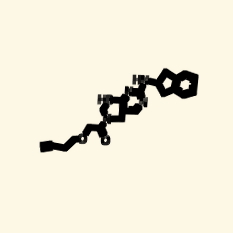 C#CCCOCC(=O)N1CBc2nc(NC3Cc4ccccc4C3)ncc2C1